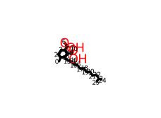 Cc1ccc(C(=O)O)c(C(=O)O)c1CCCCCCCCCCC(C)C